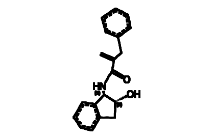 C=C(Cc1ccccc1)C(=O)N[C@H]1c2ccccc2C[C@H]1O